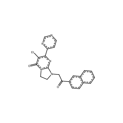 CCc1c(-c2ccncn2)nc2n(c1=O)CCN2CC(=O)c1ccc2ccccc2c1